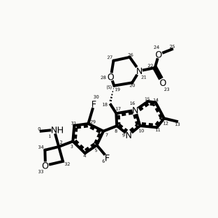 CNC1(c2cc(F)c(-c3nc4cc(C)ccn4c3C[C@H]3CN(C(=O)OC)CCO3)c(F)c2)COC1